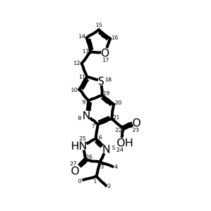 CC(C)C1(C)N=C(c2nc3cc(Cc4ccco4)sc3cc2C(=O)O)NC1=O